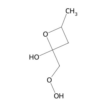 CC1CC(O)(COO)O1